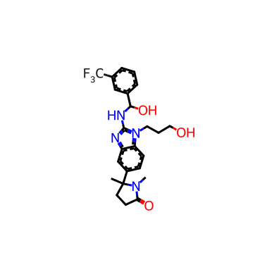 CN1C(=O)CCC1(C)c1ccc2c(c1)nc(NC(O)c1cccc(C(F)(F)F)c1)n2CCCO